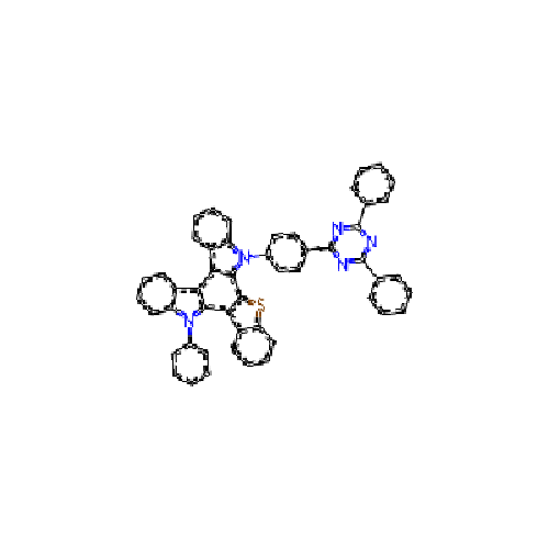 c1ccc(-c2nc(-c3ccccc3)nc(-c3ccc(-n4c5ccccc5c5c6c7ccccc7n(-c7ccccc7)c6c6c7ccccc7sc6c54)cc3)n2)cc1